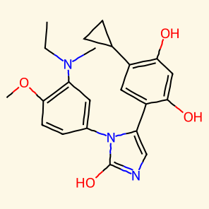 CCN(C)c1cc(-n2c(-c3cc(C4CC4)c(O)cc3O)cnc2O)ccc1OC